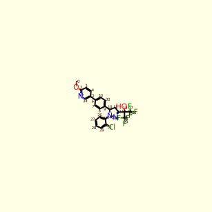 COc1ccc(-c2ccc(C3CC(C(O)(C(F)(F)F)C(F)(F)F)=NN3c3ccccc3Cl)cc2)cn1